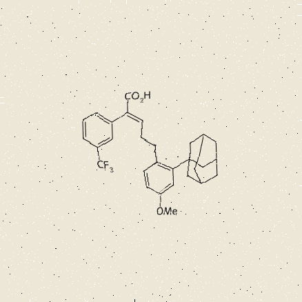 COc1ccc(CCC=C(C(=O)O)c2cccc(C(F)(F)F)c2)c(C23CC4CC(CC(C4)C2)C3)c1